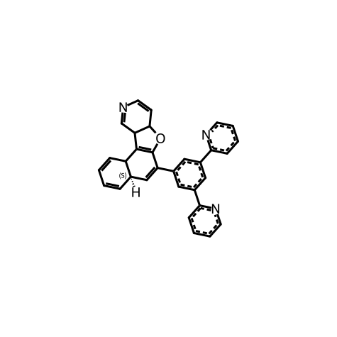 C1=CC2C3=C(OC4C=CN=CC34)C(c3cc(-c4ccccn4)cc(-c4ccccn4)c3)=C[C@H]2C=C1